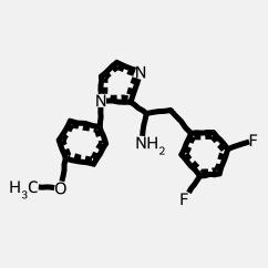 COc1ccc(-n2ccnc2C(N)Cc2cc(F)cc(F)c2)cc1